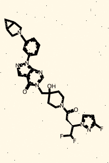 O=C(C[C@H](C(F)F)n1ccc(F)n1)N1CCC(O)(Cn2cnc3c(cnn3-c3cccc(N4CC5CC5C4)c3)c2=O)CC1